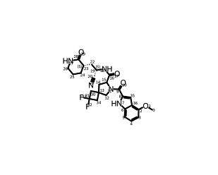 COc1cccc2[nH]c(C(=O)N3CC4(CC3C(=O)N[C@H](C#N)C[C@@H]3CCCNC3=O)CC(F)(F)C4)cc12